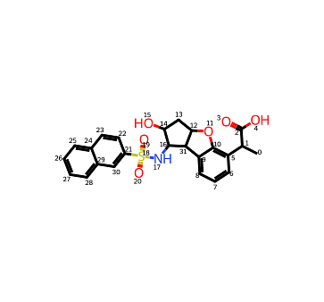 CC(C(=O)O)c1cccc2c1OC1CC(O)C(NS(=O)(=O)c3ccc4ccccc4c3)C21